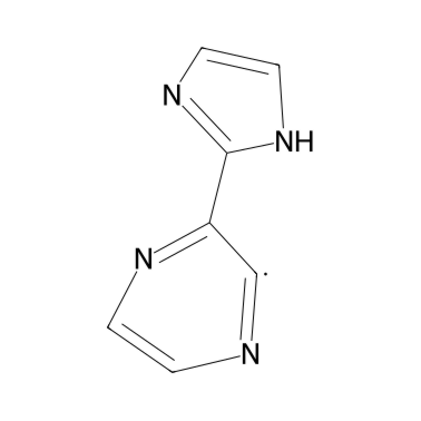 [c]1nccnc1-c1ncc[nH]1